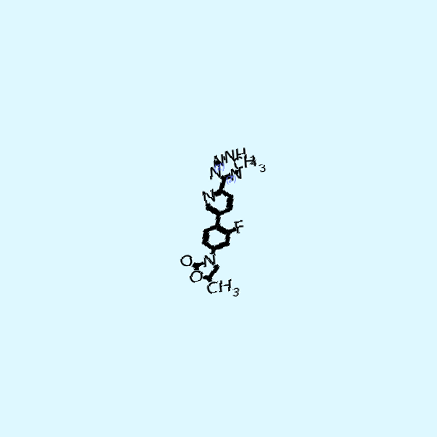 C/N=C(\N=N/N)c1ccc(-c2ccc(N3CC(C)OC3=O)cc2F)cn1